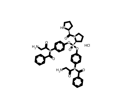 Cl.NCC(=O)N(C(=O)c1ccccc1)c1ccc(OP(=O)(Oc2ccc(N(C(=O)CN)C(=O)c3ccccc3)cc2)[C@@H]2CCCN2C(=O)[C@@H]2CCCN2)cc1